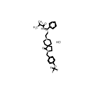 CC(C)C(=O)N[C@@H](CCN1CCC2(CC1)CCN(Cc1ccc(OC(F)(F)F)cc1)C2=O)c1ccccc1.Cl